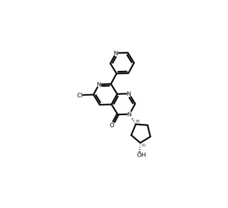 O=c1c2cc(Cl)nc(-c3cccnc3)c2ncn1[C@@H]1CC[C@H](O)C1